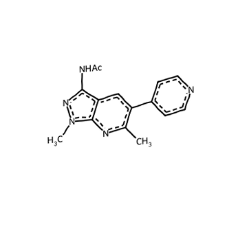 CC(=O)Nc1nn(C)c2nc(C)c(-c3ccncc3)cc12